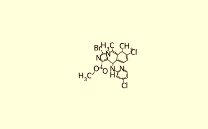 CCOC(=O)c1nc(Br)n2c1C(Nc1cc(Cl)ccn1)C1=CC=C(Cl)C(C)C1=C2C